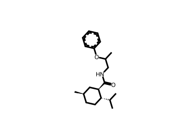 CC(CNC(=O)[C@@H]1C[C@H](C)CC[C@H]1C(C)C)Oc1ccccc1